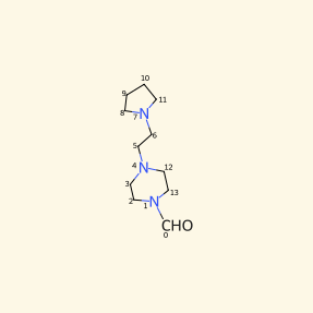 O=CN1CCN(CCN2CCCC2)CC1